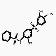 COc1ccc(S(=O)(=O)c2ccc(NS(=O)(=O)c3ccccc3)c([N+](=O)[O-])c2)cc1O